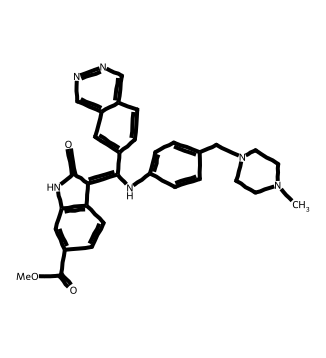 COC(=O)c1ccc2c(c1)NC(=O)C2=C(Nc1ccc(CN2CCN(C)CC2)cc1)c1ccc2cnncc2c1